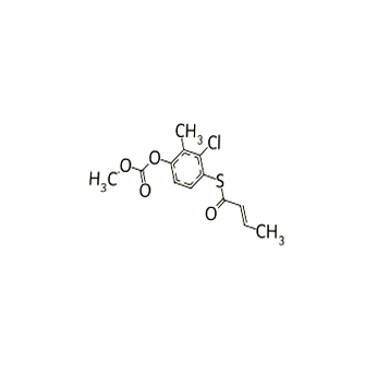 CC=CC(=O)Sc1ccc(OC(=O)OC)c(C)c1Cl